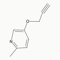 C#CCOc1ccc(C)nc1